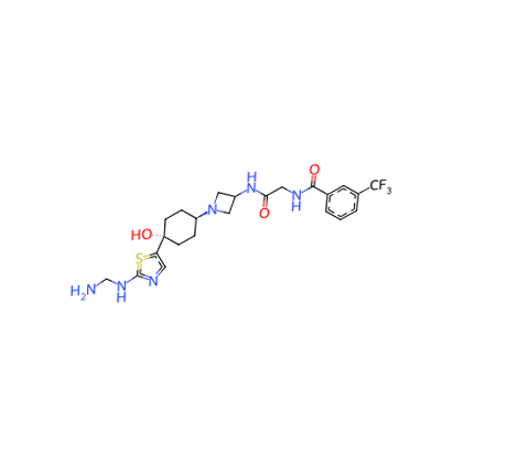 NCNc1ncc([C@]2(O)CC[C@H](N3CC(NC(=O)CNC(=O)c4cccc(C(F)(F)F)c4)C3)CC2)s1